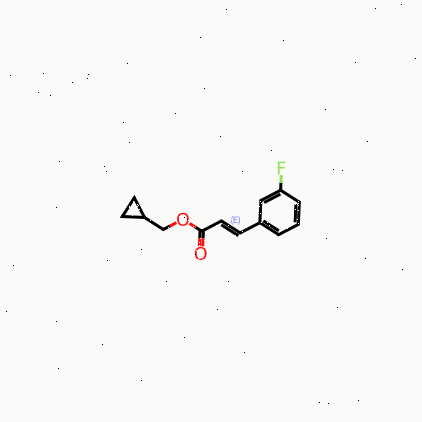 O=C(/C=C/c1cccc(F)c1)OCC1CC1